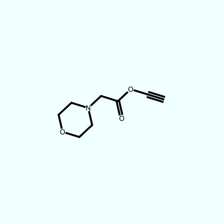 C#COC(=O)CN1CCOCC1